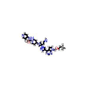 C/N=C/CC1(n2cc(-c3ncnc4c3ccn4COCC[Si](C)(C)C)cn2)CN(C2CCN(C(=O)Nc3ccncc3C(F)(F)F)CC2)C1